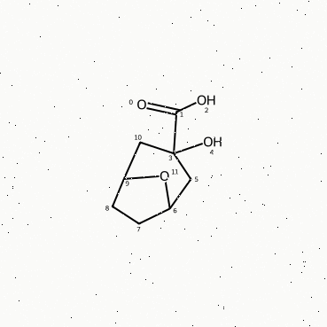 O=C(O)C1(O)CC2CCC(C1)O2